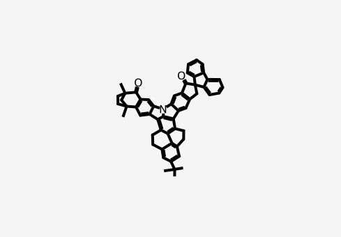 CC12CCC(C)(C1)c1cc3c4c5c6c(c7c8cc9c(cc8n(c3cc1C2=O)c74)C(=O)C1(C9)c2ccccc2-c2ccccc21)CCc1cc(C(C)(C)C)cc(c1-6)CC5